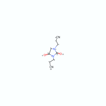 N#CCCN1CC(=O)N(CCC#N)C1=O